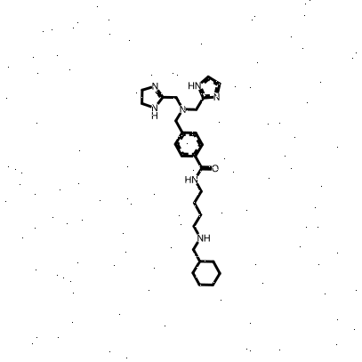 O=C(NCCCCNCC1CCCCC1)c1ccc(CN(CC2=NCCN2)Cc2ncc[nH]2)cc1